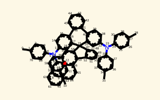 Cc1ccc(N(c2ccc(C)cc2)c2ccc3c(c2)C2(c4cc(N(c5ccc(C)cc5)c5ccc(C)cc5)ccc4-c4ccccc4-3)c3ccccc3-c3c2cc2ccc4cccc5ccc3c2c45)cc1